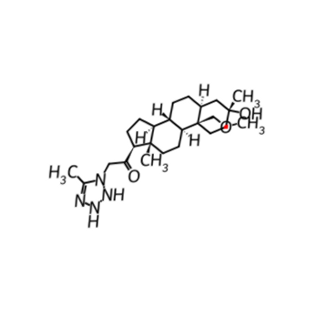 COC[C@]12CC[C@@](C)(O)C[C@@H]1CC[C@H]1[C@@H]3CC[C@H](C(=O)CN4NNN=C4C)[C@@]3(C)CC[C@@H]12